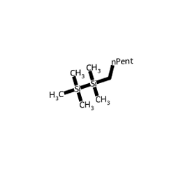 CCCCCC[Si](C)(C)[Si](C)(C)C